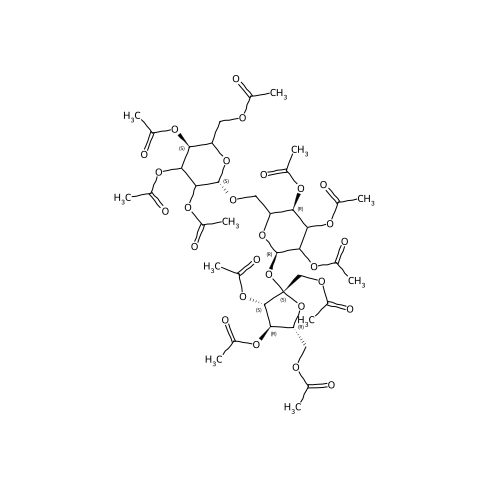 CC(=O)OCC1O[C@H](OCC2O[C@H](O[C@]3(COC(C)=O)O[C@H](COC(C)=O)[C@@H](OC(C)=O)[C@@H]3OC(C)=O)C(OC(C)=O)C(OC(C)=O)[C@@H]2OC(C)=O)C(OC(C)=O)C(OC(C)=O)[C@H]1OC(C)=O